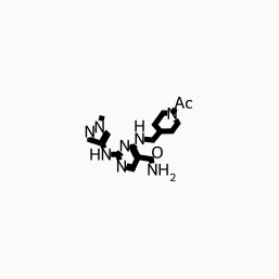 CC(=O)N1CCC(CNc2nc(Nc3cnn(C)c3)ncc2C(N)=O)CC1